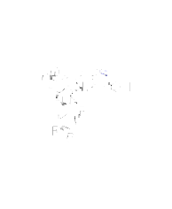 O=S1(=O)Cc2nc(-c3cc(F)c(Cl)cc3F)nc(N3CCC(/C=C\CO)CC3)c2C1